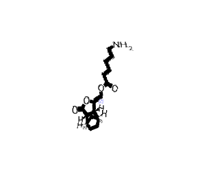 NCCCCCC(=O)O/C=C1\OC(=O)[C@@H]2[C@H]1[C@H]1C=C[C@@H]2C1